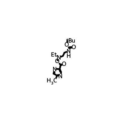 CCN(CCNC(=O)OC(C)(C)C)OC(=O)c1cnc(C)cn1